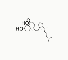 CC(C)CCC[C@@H](C)[C@H]1CCC2C3CC(=O)[C@@]4(O)C[C@@H](O)CC[C@]4(C)C3CC[C@@]21C